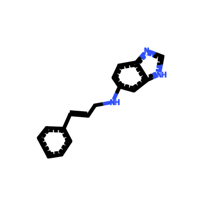 C(=C\c1ccccc1)/CNc1ccc2nc[nH]c2c1